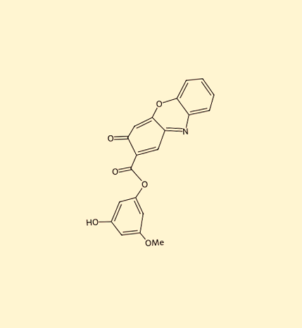 COc1cc(O)cc(OC(=O)c2cc3nc4ccccc4oc-3cc2=O)c1